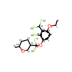 CCOc1ccc(OC(F)(F)C2CCC(C)OC2)c(F)c1C(F)F